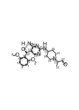 COc1cccc(OC)c1C(=O)c1cnc(NC2CCN(C(C)C=O)CC2)nc1N